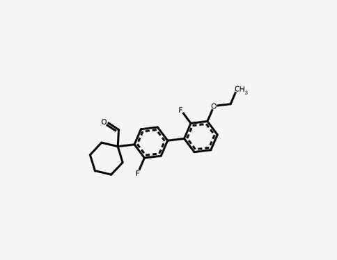 CCOc1cccc(-c2ccc(C3(C=O)CCCCC3)c(F)c2)c1F